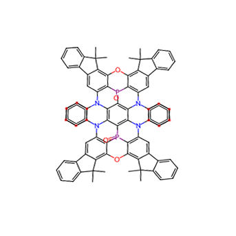 CC1(C)c2ccccc2-c2cc3c4c(c21)Oc1c2c(cc5c1P4(=O)c1c(c4c6c(c1N5c1ccccc1)N(c1ccccc1)c1cc5c(c7c1P6(=O)c1c(cc6c(c1O7)C(C)(C)c1ccccc1-6)N4c1ccccc1)C(C)(C)c1ccccc1-5)N3c1ccccc1)-c1ccccc1C2(C)C